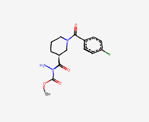 CC(C)(C)OC(=O)N(N)C(=O)[C@H]1CCCN(C(=O)c2ccc(F)cc2)C1